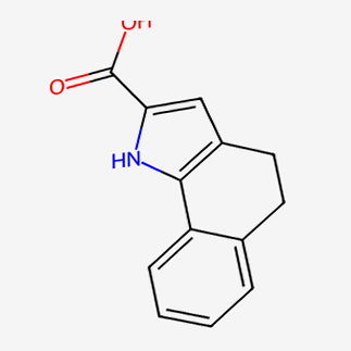 O=C(O)c1cc2c([nH]1)-c1ccccc1CC2